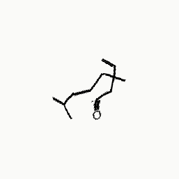 C=CC(C)(C[C]=O)CCCC(C)C